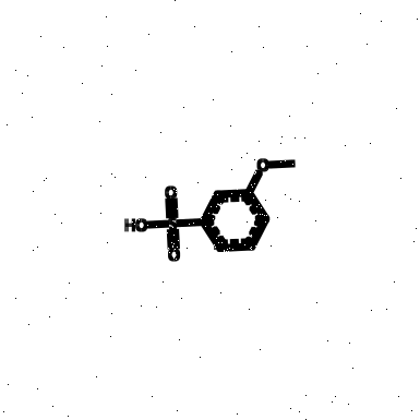 COc1cc[c]c(S(=O)(=O)O)c1